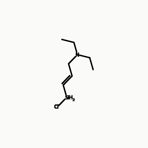 CCN(CC)CC=C[SiH2]Cl